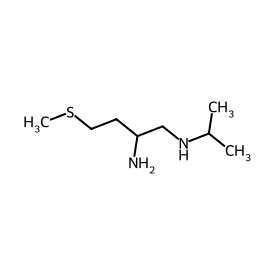 CSCCC(N)CNC(C)C